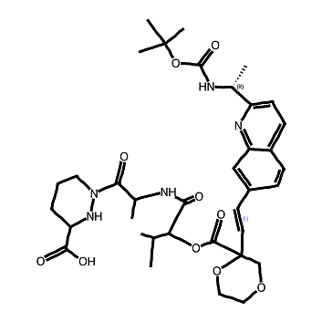 CC(NC(=O)C(OC(=O)C1(/C=C/c2ccc3ccc([C@@H](C)NC(=O)OC(C)(C)C)nc3c2)COCCO1)C(C)C)C(=O)N1CCCC(C(=O)O)N1